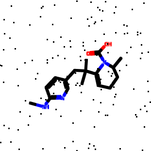 CNc1ccc(CC(C)(C)C2=CCCC(C)N2C(=O)O)cn1